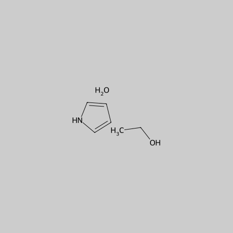 CCO.O.c1cc[nH]c1